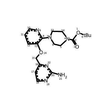 CC(C)(C)OC(=O)N1CCN(c2ncccc2OCc2ccnc(N)n2)CC1